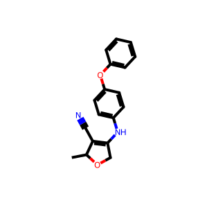 CC1OCC(Nc2ccc(Oc3ccccc3)cc2)=C1C#N